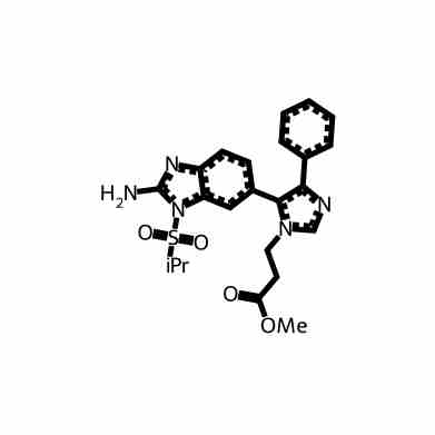 COC(=O)CCn1cnc(-c2ccccc2)c1-c1ccc2nc(N)n(S(=O)(=O)C(C)C)c2c1